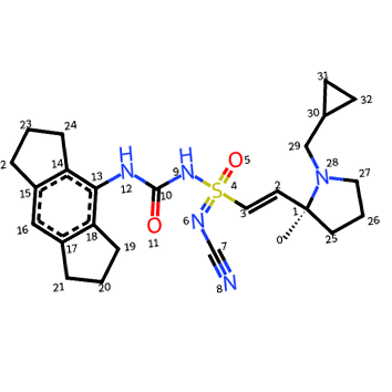 C[C@@]1(/C=C/S(=O)(=NC#N)NC(=O)Nc2c3c(cc4c2CCC4)CCC3)CCCN1CC1CC1